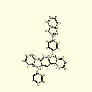 c1ccc(-n2c3cc4c5ncccc5n(-c5ccc(-c6nc7ccncc7s6)cc5)c4cc3c3ncccc32)cc1